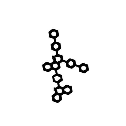 C1=C(c2nc3ccccc3c3ccccc23)CCC(c2cc3c(-c4ccc(-c5ccccc5)cc4)cc(-c4ccc(-c5ccccc5)cc4)nc3c3ccccc23)=C1